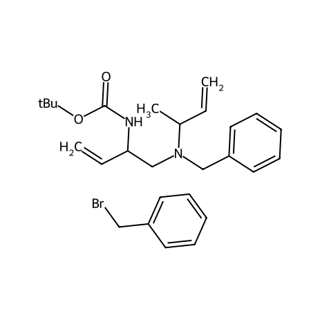 BrCc1ccccc1.C=CC(CN(Cc1ccccc1)C(C)C=C)NC(=O)OC(C)(C)C